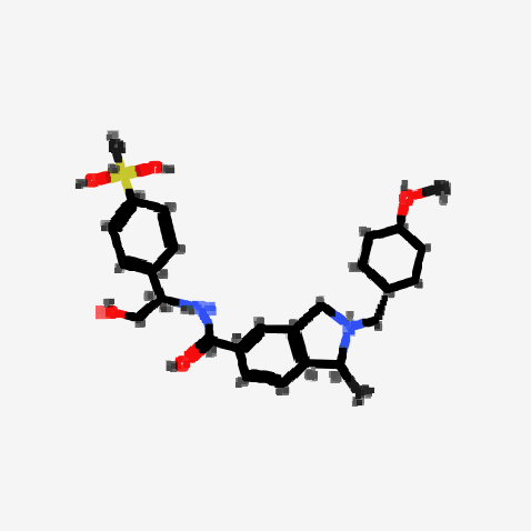 CCO[C@H]1CC[C@H](CN2Cc3cc(C(=O)N[C@@H](CO)c4ccc(S(=O)(=O)CC)cc4)ccc3C2C(C)C)CC1